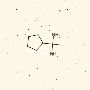 CC(N)(N)C1CCCC1